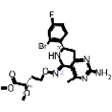 COC(=O)[C@H](CCO/N=C1\N[C@@H](c2ccc(F)cc2Br)Cc2nc(N)nc(C)c21)OC